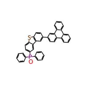 O=P(c1ccccc1)(c1ccccc1)c1ccc2sc3ccc(-c4ccc5c6ccccc6c6ccccc6c5c4)cc3c2c1